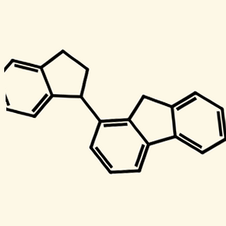 c1ccc2c(c1)Cc1c-2cccc1C1CCc2ccccc21